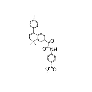 COC(=O)c1ccc(NC(=O)C(=O)c2ccc3c(c2)C(C)(C)CC=C3c2ccc(C)cc2)cc1